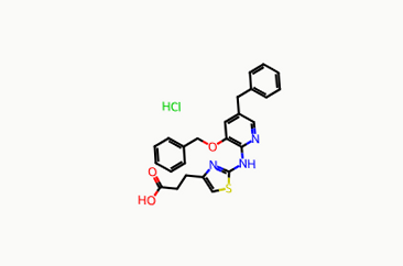 Cl.O=C(O)CCc1csc(Nc2ncc(Cc3ccccc3)cc2OCc2ccccc2)n1